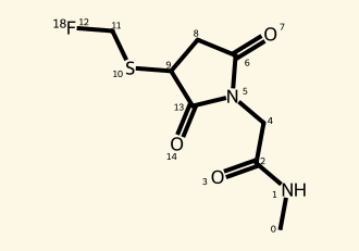 CNC(=O)CN1C(=O)CC(SC[18F])C1=O